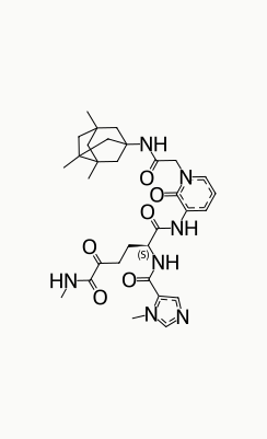 CNC(=O)C(=O)CC[C@H](NC(=O)c1cncn1C)C(=O)Nc1cccn(CC(=O)NC23CC4(C)CC(C)(C2)C(C)(C4)C3)c1=O